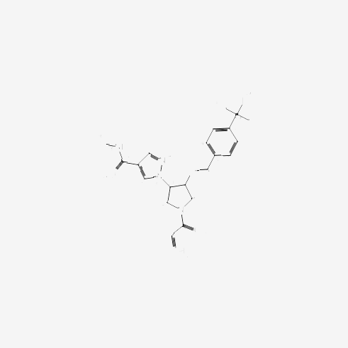 C=CC(=O)N1CC(OCc2ccc(C(F)(F)F)cc2)C(n2cc(C(=O)NC)cn2)C1